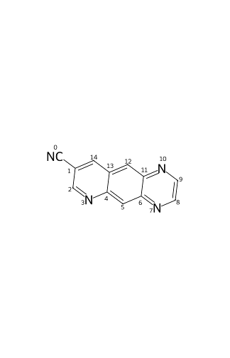 N#Cc1cnc2cc3nccnc3cc2c1